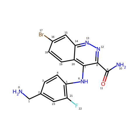 NCc1ccc(Nc2c(C(N)=O)nnc3cc(Br)ccc23)c(F)c1